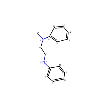 CN(CCNc1ccccc1)c1ccccc1